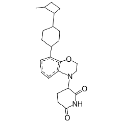 CC1CCC1C1CCC(c2cccc3c2OCCN3C2CCC(=O)NC2=O)CC1